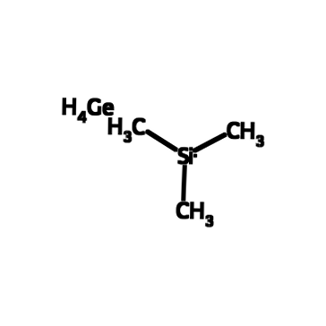 C[Si](C)C.[GeH4]